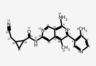 Cc1ccncc1-c1nc(N)c2cnc(NC(=O)C3CC3CC#N)cc2c1C